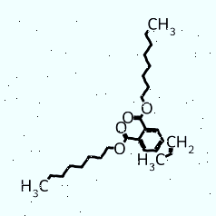 C=CC.CCCCCCCCOC(=O)c1ccccc1C(=O)OCCCCCCCC